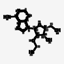 Nc1ncnc2c1ncn2[C@@H]1O[C@H](CO)[C@H](O)[C@H]1OCS